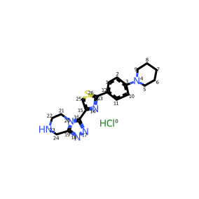 Cl.c1cc(N2CCCCC2)ccc1-c1nc(-c2nnc3n2CCNC3)cs1